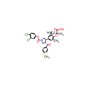 CSc1ccc(C(=O)[C@@H]2CN(C(=O)Oc3ccc(Cl)c(Cl)c3)CC2c2cc(C)c(OC(C)(C)C(=O)O)c(C)c2)cc1